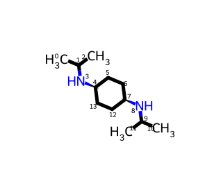 CC(C)N[C@H]1CC[C@@H](NC(C)C)CC1